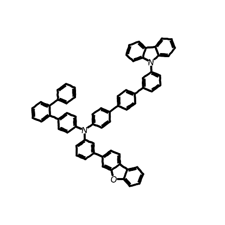 c1ccc(-c2ccccc2-c2ccc(N(c3ccc(-c4ccc(-c5cccc(-n6c7ccccc7c7ccccc76)c5)cc4)cc3)c3cccc(-c4ccc5c(c4)oc4ccccc45)c3)cc2)cc1